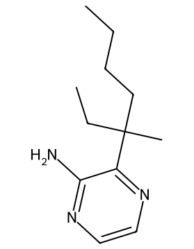 CCCCC(C)(CC)c1nccnc1N